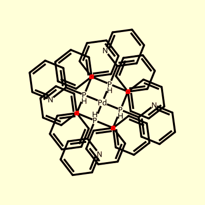 c1ccc([PH](c2ccccc2)(c2ccccn2)[Pd]([PH](c2ccccc2)(c2ccccc2)c2ccccn2)([PH](c2ccccc2)(c2ccccc2)c2ccccn2)[PH](c2ccccc2)(c2ccccc2)c2ccccn2)cc1